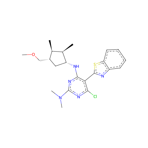 COC[C@H]1C[C@@H](Nc2nc(N(C)C)nc(Cl)c2-c2nc3ccccc3s2)[C@H](C)[C@@H]1C